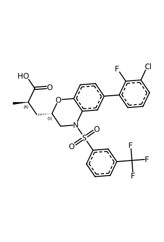 C[C@H](C[C@H]1CN(S(=O)(=O)c2cccc(C(F)(F)F)c2)c2cc(-c3cccc(Cl)c3F)ccc2O1)C(=O)O